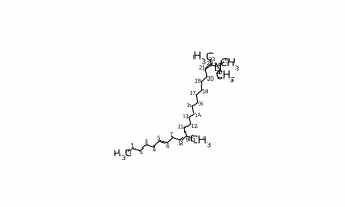 CCCCCCCCCC(C)CCCCCCCCCCCC(C)N(C)C